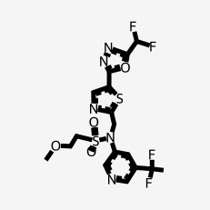 COCCS(=O)(=O)N(Cc1ncc(-c2nnc(C(F)F)o2)s1)c1cncc(C(C)(F)F)c1